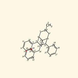 CN1CC2C(=O)C(C1)C(c1ccccn1)N(Cc1ccccn1)C2c1ccccn1